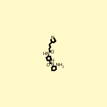 Nc1ccccc1NC(=O)c1ccc(NC(=O)C/C=C/c2cccnc2)cc1